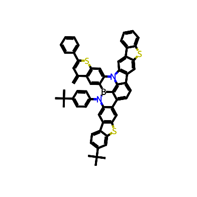 C=C1C=C(c2ccccc2)Sc2cc3c(cc21)B1c2c(ccc4c5cc6sc7ccccc7c6cc5n-3c24)-c2cc3sc4cc(C(C)(C)C)ccc4c3cc2N1c1ccc(C(C)(C)C)cc1